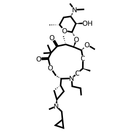 CCCN1C[C@H](C)C[C@@H](OC)[C@H](O[C@@H]2O[C@H](C)C[C@H](N(C)C)[C@H]2O)[C@@H](C)C(=O)C(C)(C)C(=O)OC[C@H]1[C@H]1C[C@H](N(C)CC2CC2)C1